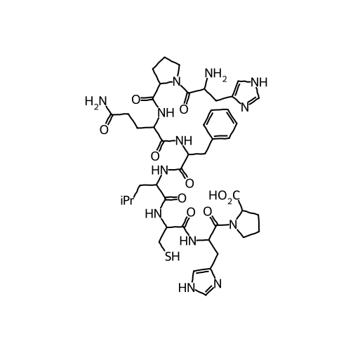 CC(C)CC(NC(=O)C(Cc1ccccc1)NC(=O)C(CCC(N)=O)NC(=O)C1CCCN1C(=O)C(N)Cc1c[nH]cn1)C(=O)NC(CS)C(=O)NC(Cc1c[nH]cn1)C(=O)N1CCCC1C(=O)O